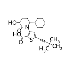 CC(C)(C)C#Cc1cc(N2C(=O)C(O)CCC2C2CCCCC2)c(C(=O)O)s1